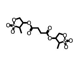 CC1C(OC(=O)CCC(=O)OC2COS(=O)(=O)C2C)COS1(=O)=O